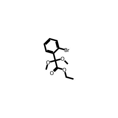 CCOC(=O)C(OC)(OC)c1ccccc1Br